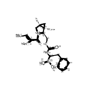 CC(C)(C)C=C(C#N)C(=O)N1C[C@H]2C[C@H]2[C@H]1COC(=O)NC(Cc1ccccc1)B(O)O